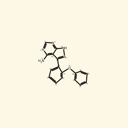 Nc1ncnc2[nH]nc(-c3ccccc3Oc3ccccc3)c12